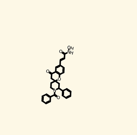 O=C(C=Cc1ccc2c(c1)C(=O)CC1(CCN(C(=O)c3ccccc3)C(c3ccccc3)C1)O2)NO